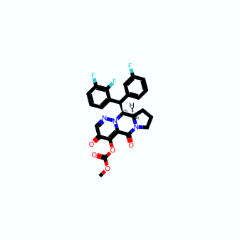 COC(=O)Oc1c2n(ncc1=O)[C@@H](C(c1cccc(F)c1)c1cccc(F)c1F)[C@H]1CCCN1C2=O